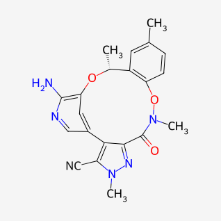 Cc1ccc2c(c1)[C@@H](C)Oc1cc(cnc1N)-c1c(nn(C)c1C#N)C(=O)N(C)O2